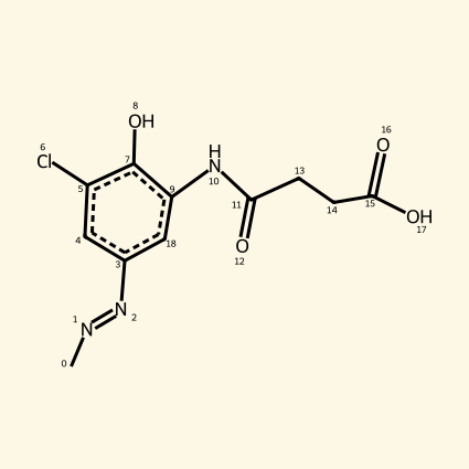 C/N=N/c1cc(Cl)c(O)c(NC(=O)CCC(=O)O)c1